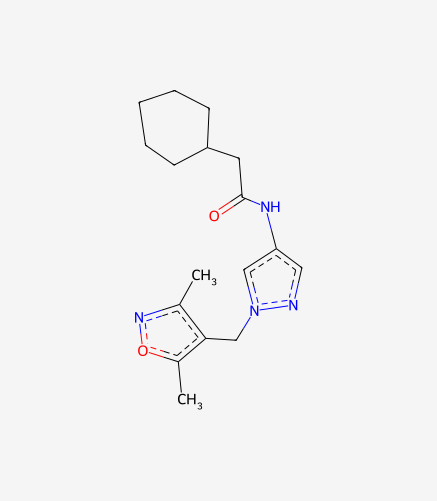 Cc1noc(C)c1Cn1cc(NC(=O)CC2CCCCC2)cn1